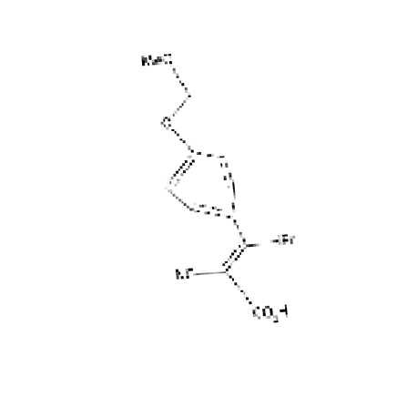 COCOc1ccc(/C(=C(\C#N)C(=O)O)C(C)C)cc1